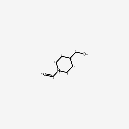 [O]CC1CCN(C=O)CC1